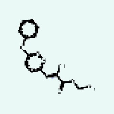 CCOC(=O)/C(O)=C/c1ccc(Oc2ccccc2)nn1